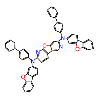 c1ccc(-c2ccc(N(c3ccc4c(c3)oc3ccccc34)c3cc4oc5nc(N(c6ccc(-c7ccccc7)cc6)c6ccc7c(c6)oc6ccccc67)ccc5c4cn3)cc2)cc1